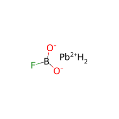 [O-]B([O-])F.[PbH2+2]